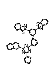 c1ccc(-c2nc(-c3cccc(-c4cc(-c5nc6ccccc6s5)cc(-c5nc6ccccc6s5)c4)c3)nc(-c3ccc4ccccc4c3)n2)cc1